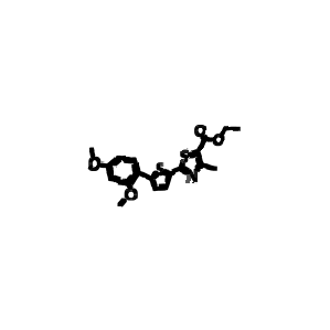 CCOC(=O)c1sc(-c2ccc(-c3ccc(OC)cc3OC)s2)nc1C